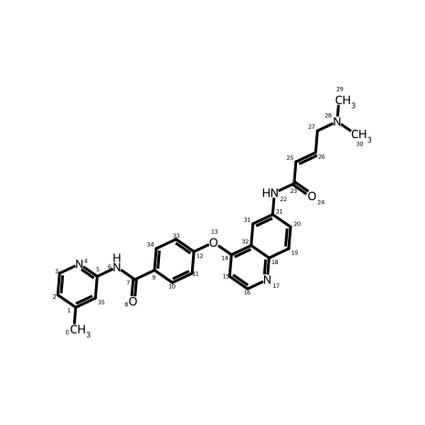 Cc1ccnc(NC(=O)c2ccc(Oc3ccnc4ccc(NC(=O)/C=C/CN(C)C)cc34)cc2)c1